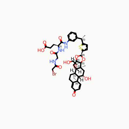 C[C@@H](c1cccc(NC(=O)[C@H](CCC(=O)O)NC(=O)CNC(=O)CBr)c1)c1ccc([C@@H]2O[C@@H]3C[C@H]4[C@@H]5CCC6=CC(=O)C=C[C@]6(C)[C@H]5[C@@H](O)C[C@]4(C)[C@]3(C(=O)CO)O2)s1